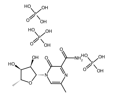 Cc1cn([C@@H]2O[C@H](C)[C@@H](O)[C@H]2O)c(=O)c(C(N)=O)n1.O=P(O)(O)O.O=P(O)(O)O.O=P(O)(O)O